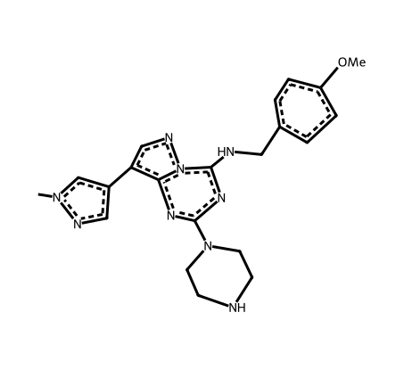 COc1ccc(CNc2nc(N3CCNCC3)nc3c(-c4cnn(C)c4)cnn23)cc1